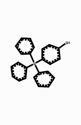 Sc1ccc([Si](c2ccccc2)(c2ccccc2)c2ccccc2)cc1